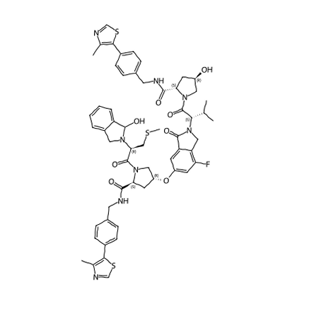 CSC[C@@H](C(=O)N1C[C@H](Oc2cc(F)c3c(c2)C(=O)N([C@H](C(=O)N2C[C@H](O)C[C@H]2C(=O)NCc2ccc(-c4scnc4C)cc2)C(C)C)C3)C[C@H]1C(=O)NCc1ccc(-c2scnc2C)cc1)N1Cc2ccccc2C1O